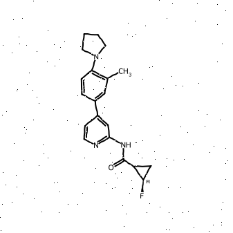 Cc1cc(-c2ccnc(NC(=O)C3C[C@H]3F)c2)ccc1N1CCCC1